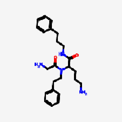 NCCCC(C(=O)NCCCc1ccccc1)N(CCc1ccccc1)C(=O)CN